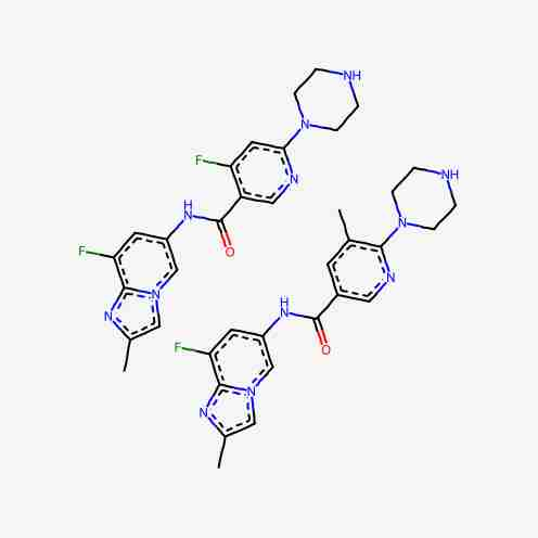 Cc1cn2cc(NC(=O)c3cnc(N4CCNCC4)c(C)c3)cc(F)c2n1.Cc1cn2cc(NC(=O)c3cnc(N4CCNCC4)cc3F)cc(F)c2n1